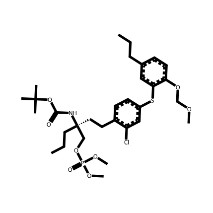 CCCc1ccc(OCOC)c(Sc2ccc(CC[C@@](CCC)(COP(=O)(OC)OC)NC(=O)OC(C)(C)C)c(Cl)c2)c1